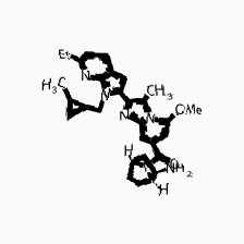 CCc1ccc2cc(-c3nc4cc(C(=O)N5[C@H]6CC[C@@H]5[C@H](N)C6)cc(OC)n4c3C)n(CC3CC3C)c2n1